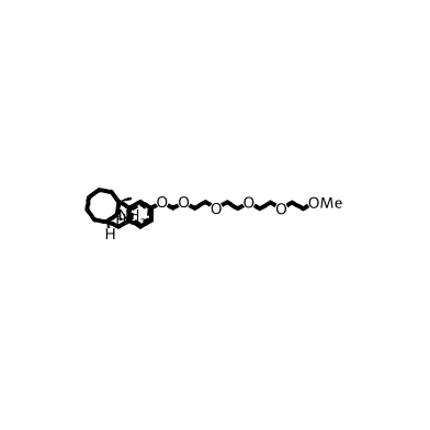 COCCOCCOCCOCCOCOc1ccc2c(c1)[C@@]1(C)CCCCC[C@@H](C2)[C@@H]1N